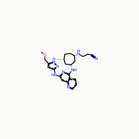 COCc1cc(Nc2cc3ncccc3c(N[C@@H]3C[C@H](C)CC[C@H](NCCC#N)C3)n2)n[nH]1